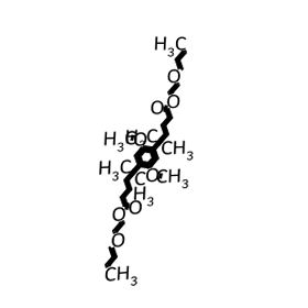 CCCCOCCOC(=O)CCCC(C)(C)c1cc(OC)c(C(C)(C)CCCC(=O)OCCOCCCC)cc1OC